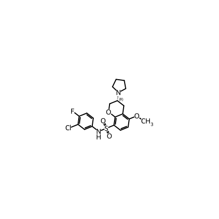 COc1ccc(S(=O)(=O)Nc2ccc(F)c(Cl)c2)c2c1C[C@@H](N1CCCC1)CO2